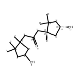 CC1(C)CC(O)CC1(C)CC(=O)C[C@@]1(C)C[C@@H](O)CC1(C)C